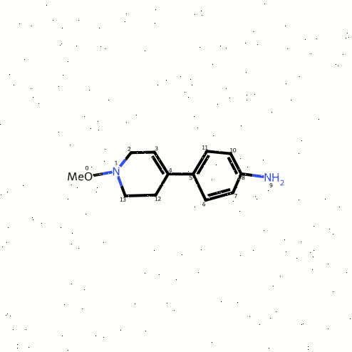 CON1CC=C(c2ccc(N)cc2)CC1